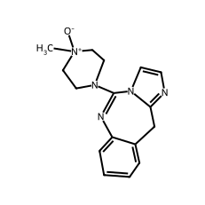 C[N+]1([O-])CCN(C2=Nc3ccccc3Cc3nccn32)CC1